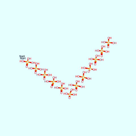 O=P(O)(O)O.O=P(O)(O)O.O=P(O)(O)O.O=P(O)(O)O.O=P(O)(O)O.O=P(O)(O)O.O=P(O)(O)O.O=P(O)(O)O.O=P(O)(O)O.O=P(O)(O)O.O=P(O)(O)O.O=P(O)(O)O.[NaH].[NaH]